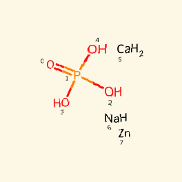 O=P(O)(O)O.[CaH2].[NaH].[Zn]